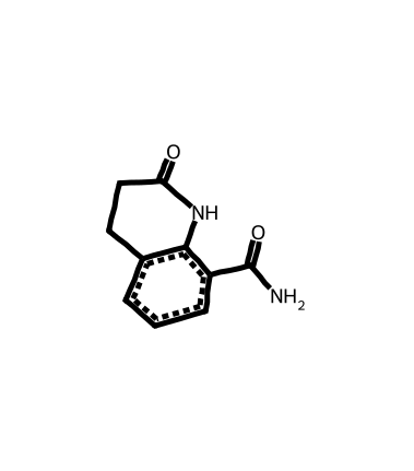 NC(=O)c1cccc2c1NC(=O)CC2